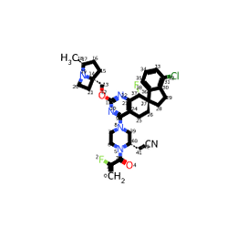 C=C(F)C(=O)N1CCN(c2nc(OC[C@@]34CC[C@@H](C)N3CC4)nc3c2CC[C@@]2(CCc4c(Cl)cccc42)[C@H]3F)C[C@@H]1CC#N